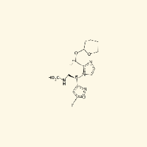 C[C@H](OC1CCCCO1)c1nccn1[C@H](CNC(=O)O)c1cc(I)on1